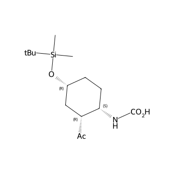 CC(=O)[C@@H]1C[C@H](O[Si](C)(C)C(C)(C)C)CC[C@@H]1NC(=O)O